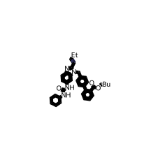 CC/C=C/c1nc2ccc(NC(=O)NC3CCCCC3)cc2n1Cc1ccc(-c2ccccc2C(=O)OC(C)(C)C)cc1